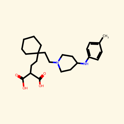 Cc1ccc(NC2CCN(CCC3(CCC(C(=O)O)C(=O)O)CCCCC3)CC2)cc1